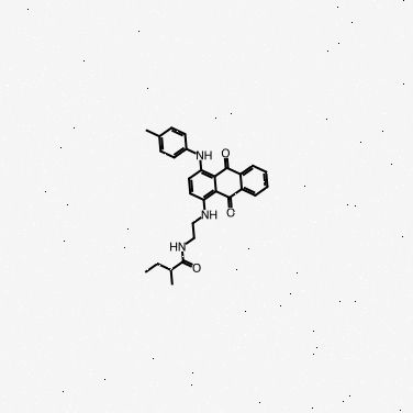 CCC(C)C(=O)NCCNc1ccc(Nc2ccc(C)cc2)c2c1C(=O)c1ccccc1C2=O